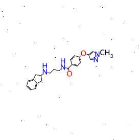 Cn1cc(Oc2ccc(C(=O)NCCCNC3Cc4ccccc4C3)cc2)cn1